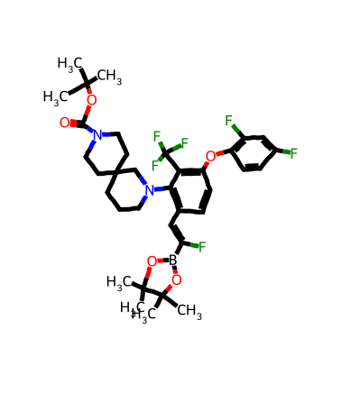 CC(C)(C)OC(=O)N1CCC2(CCCN(c3c(/C=C(\F)B4OC(C)(C)C(C)(C)O4)ccc(Oc4ccc(F)cc4F)c3C(F)(F)F)C2)CC1